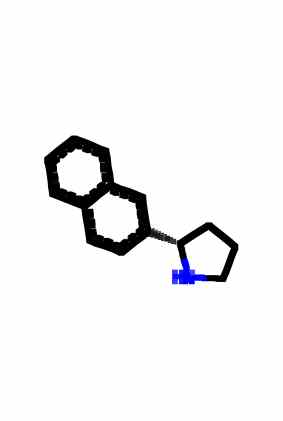 c1ccc2cc([C@@H]3CCCN3)ccc2c1